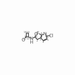 O=C(Cc1ccc(Cl)nc1F)NC1CCC1=O